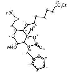 CCCCOCC1O[C@H](OC)C2[C@@H](OC(=O)N2Cc2ccccc2)[C@@H]1OCCCCCC(=O)OCC